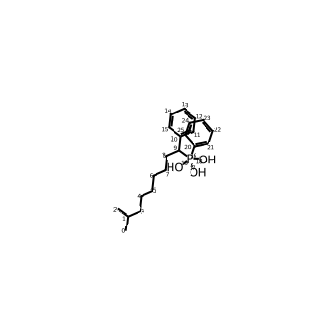 CC(C)CCCCCCC(c1ccccc1)P(O)(O)(O)c1ccccc1